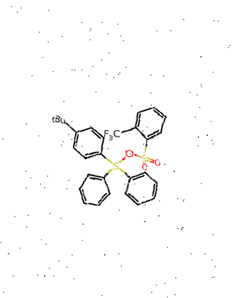 CC(C)(C)c1ccc(S(OS(=O)(=O)c2ccccc2C(F)(F)F)(c2ccccc2)c2ccccc2)cc1